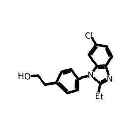 CCc1nc2ccc(Cl)cc2n1-c1ccc(CCO)cc1